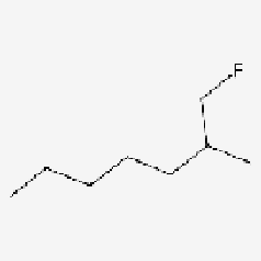 CCCCCC(C)CF